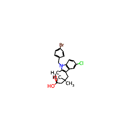 Cc1c(CC(C)(C)CC(=O)O)c2cc(Cl)ccc2n1Cc1ccc(Br)cc1